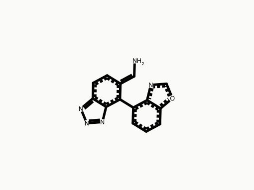 NC=c1ccc2c(c1-c1cccc3ocnc13)N=NN=2